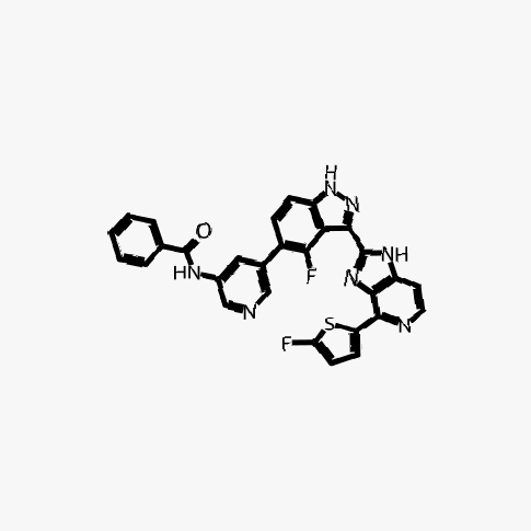 O=C(Nc1cncc(-c2ccc3[nH]nc(-c4nc5c(-c6ccc(F)s6)nccc5[nH]4)c3c2F)c1)c1ccccc1